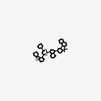 CC1(C)c2ccc(-c3ccc(-c4nc(-c5ccccc5)cc(-c5cccc6oc7ccccc7c56)n4)c4ccccc34)cc2-c2c1ccc1ccccc21